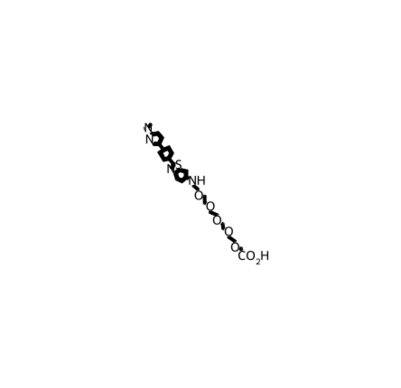 CN(C)c1ccc(-c2ccc(-c3nc4ccc(NCCOCCOCCOCCOCCOCC(=O)O)cc4s3)cc2)cn1